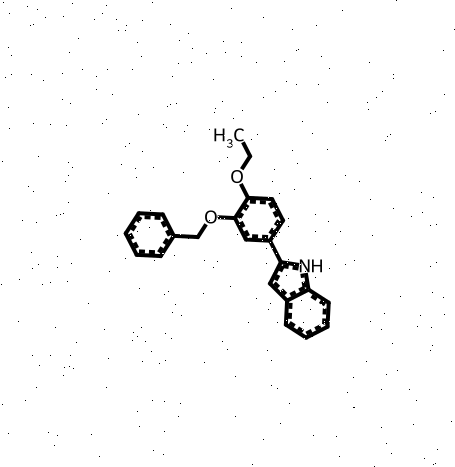 CCOc1ccc(-c2cc3ccccc3[nH]2)cc1OCc1ccccc1